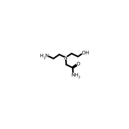 NCCN(CCO)CC(N)=O